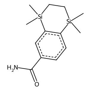 C[Si]1(C)CC[Si](C)(C)c2cc(C(N)=O)ccc21